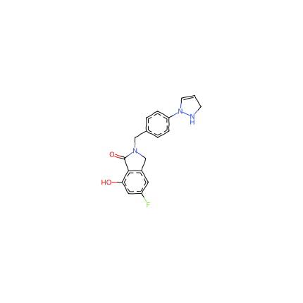 O=C1c2c(O)cc(F)cc2CN1Cc1ccc(N2C=CCN2)cc1